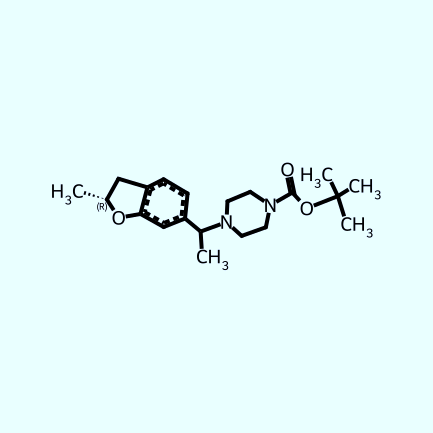 CC(c1ccc2c(c1)O[C@H](C)C2)N1CCN(C(=O)OC(C)(C)C)CC1